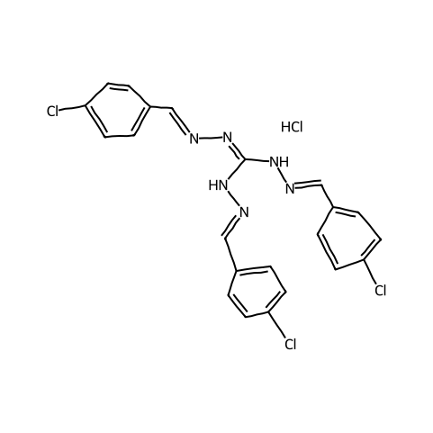 Cl.Clc1ccc(/C=N/N=C(N/N=C/c2ccc(Cl)cc2)N/N=C/c2ccc(Cl)cc2)cc1